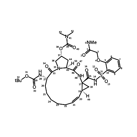 CNC(=O)COc1ccccc1S(=O)(=O)NC(=O)[C@@]12C[C@H]1/C=C\CCCCC[C@H](NC(=O)OC(C)(C)C)C(=O)N1C[C@H](OC(=O)N(C)C)C[C@H]1C(=O)N2